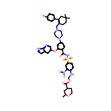 CC1CC(C(=O)OCNc2ccc(S(=O)(=O)NC(=O)c3ccc(N4CCN(CC5=C(c6ccc(Cl)cc6)CC(C)(C)CC5)CC4)cc3Oc3cnc4[nH]ccc4c3)cc2[N+](=O)[O-])CCO1